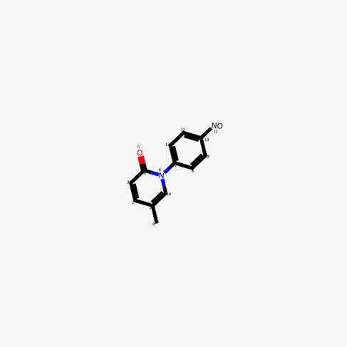 Cc1ccc(=O)n(-c2ccc(N=O)cc2)c1